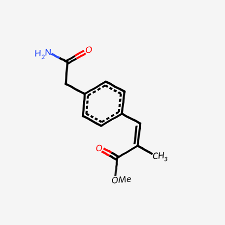 COC(=O)C(C)=Cc1ccc(CC(N)=O)cc1